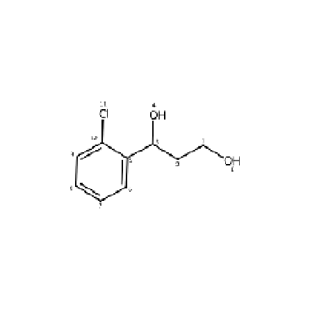 OCCC(O)c1ccccc1Cl